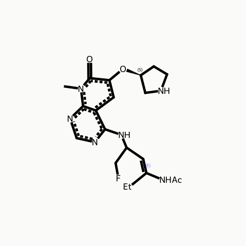 CC/C(=C\C(CF)Nc1ncnc2c1cc(O[C@H]1CCNC1)c(=O)n2C)NC(C)=O